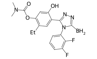 Bc1nnc(-c2cc(CC)c(OC(=O)N(C)C)cc2O)n1-c1cccc(F)c1F